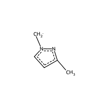 [CH2]n1ccc(C)n1